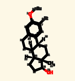 CCCCOc1cc2c(cc1CC)[C@H]1CC[C@]3(C)[C@@H](O)CC[C@H]3[C@@H]1CC2